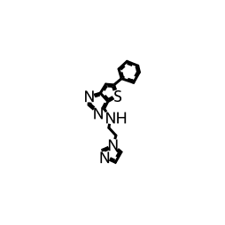 c1ccc(-c2cc3ncnc(NCCn4ccnc4)c3s2)cc1